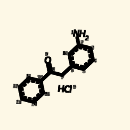 Cl.Nc1cccc(CC(=O)c2ccccc2)c1